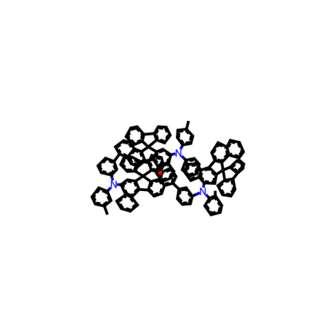 Cc1ccc(N(c2ccccc2)c2cc3c(c4ccccc24)-c2ccc4c(-c5cccc(N(c6cccc(C)c6)c6cc7c(c8ccccc68)-c6ccc8c(-c9cccc(N(c%10ccccc%10C)c%10cc%11c(c%12ccccc%10%12)-c%10ccc%12ccccc%12c%10C%11%10c%11ccccc%11-c%11ccccc%11%10)c9)cccc8c6C76c7ccccc7-c7ccccc76)c5)cccc4c2C32c3ccccc3-c3ccccc32)cc1